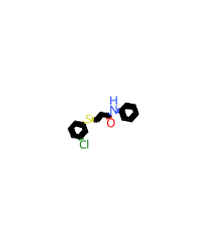 O=C(C=CSc1cccc(Cl)c1)Nc1ccccc1